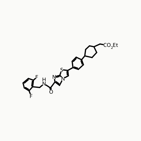 CCOC(=O)CC1CCC(c2ccc(-c3cn4cc(C(=O)NCc5c(F)cccc5F)nc4s3)cc2)CC1